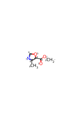 [CH2]OC(=O)c1ocnc1C